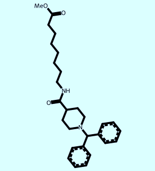 COC(=O)CCCCCCCNC(=O)C1CCN(C(c2ccccc2)c2ccccc2)CC1